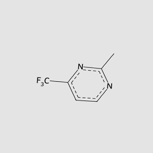 Cc1nccc(C(F)(F)F)n1